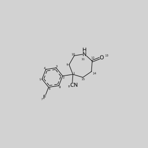 N#CC1(c2cccc(F)c2)CCNC(=O)CC1